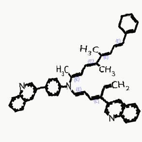 C=C/C(=C\C=C\N(/C(C)=C/C=C(C)/C(C)=C/C=C/C1=CC=CCC1)c1ccc(-c2cnc3ccccc3c2)cc1)c1cnc2ccccc2c1